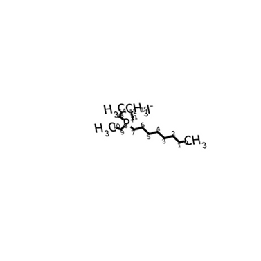 CCCCCCCC[P+](CC)(CC)CC.[I-]